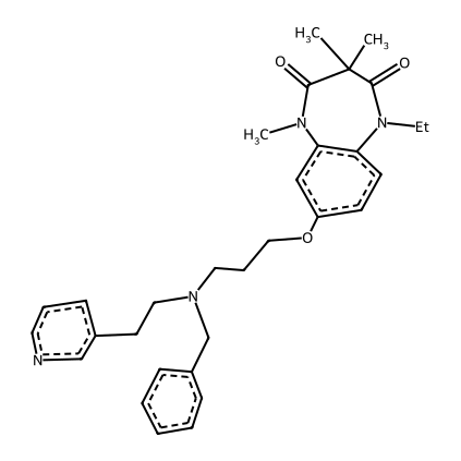 CCN1C(=O)C(C)(C)C(=O)N(C)c2cc(OCCCN(CCc3cccnc3)Cc3ccccc3)ccc21